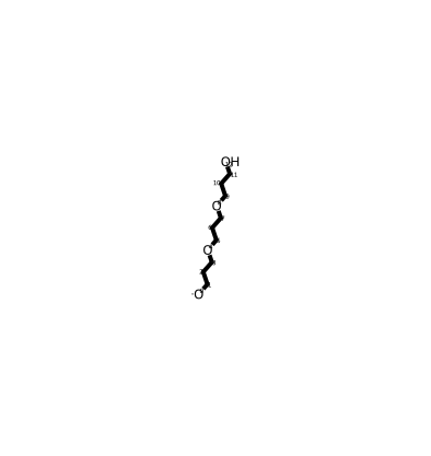 [O]CCCOCCCOCCCO